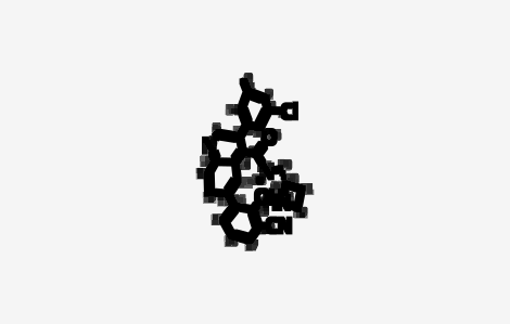 Cc1cc(Cl)cc(-c2cnc3ccc(-c4cccc(C#N)c4O)cc3c2C(=O)N(C)C[C@@H]2CCN2)c1